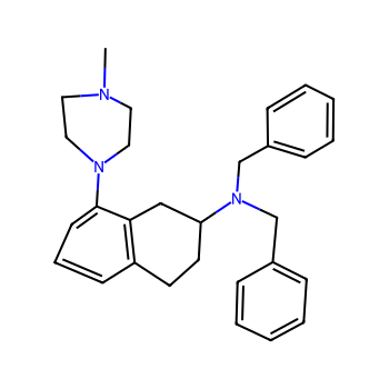 CN1CCN(c2cccc3c2CC(N(Cc2ccccc2)Cc2ccccc2)CC3)CC1